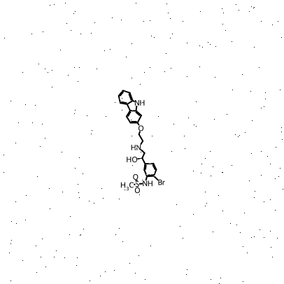 CS(=O)(=O)Nc1cc([C@@H](O)CNCCOc2ccc3c(c2)[nH]c2ccccc23)ccc1Br